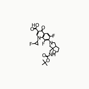 CC(C)(C)OC(=O)NCC12CN(c3c(F)cc4c(=O)c(C(=O)O)cn(C5CC5F)c4c3F)CC1CCO2